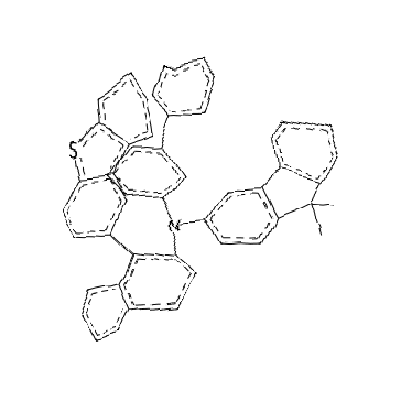 CC1(C)c2ccccc2-c2cc(N(c3cccc(-c4ccccc4)c3)c3ccc4ccccc4c3-c3ccc4sc5ccccc5c4c3)ccc21